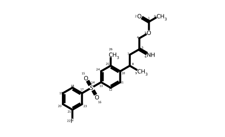 CC(=O)OCC(=N)CC(C)c1ccc(S(=O)(=O)c2cccc(F)c2)cc1C